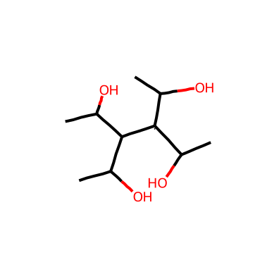 CC(O)[C](C(C)O)C(C(C)O)C(C)O